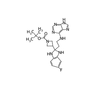 CC(C)(C)OC(=O)N1CC(C2(CCNc3ncnc4[nH]cnc34)Nc3ccc(F)cc3N2)C1